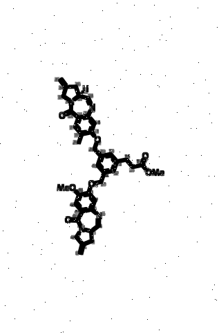 C=C1CC2C=Nc3cc(OCc4cc(CCC(=O)OC)cc(COc5cc6c(cc5C)C(=O)N5CC(=C)C[C@H]5C=N6)c4)c(OC)cc3C(=O)N2C1